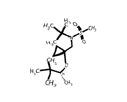 C[C@@H](OC1(CN(C(C)(C)C)S(C)(=O)=O)CC1)C(C)(C)C